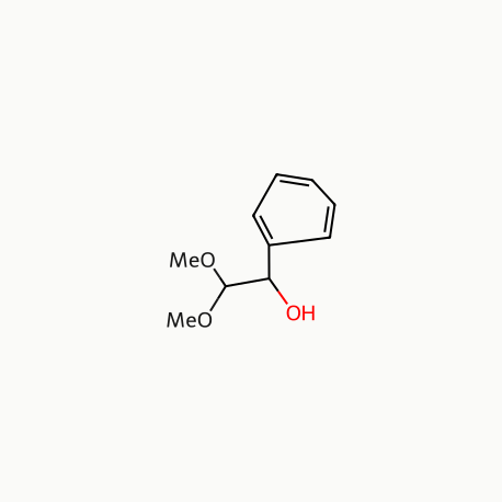 COC(OC)C(O)c1ccccc1